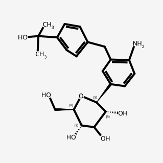 CC(C)(O)c1ccc(Cc2cc([C@@H]3O[C@H](CO)[C@@H](O)C(O)[C@H]3O)ccc2N)cc1